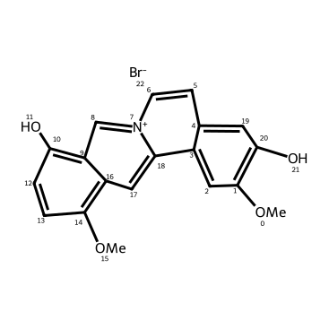 COc1cc2c(cc[n+]3cc4c(O)ccc(OC)c4cc23)cc1O.[Br-]